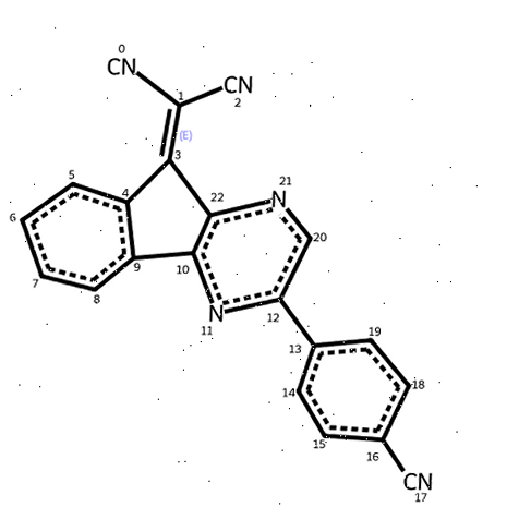 [C-]#[N+]/C(C#N)=C1\c2ccccc2-c2nc(-c3ccc(C#N)cc3)cnc21